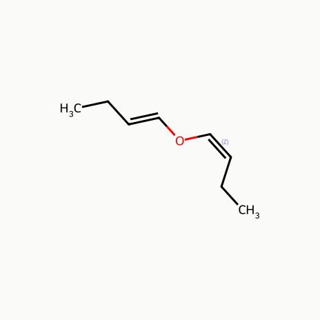 CCC=CO/C=C\CC